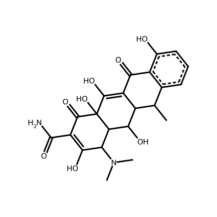 CC1c2cccc(O)c2C(=O)C2=C(O)C3(O)C(=O)C(C(N)=O)=C(O)C(N(C)C)C3C(O)C21